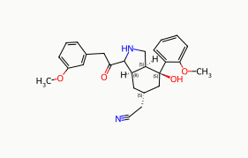 COc1cccc(CC(=O)C2NC[C@@H]3[C@H]2C[C@@H](CC#N)C[C@@]3(O)c2ccccc2OC)c1